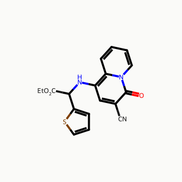 CCOC(=O)C(Nc1cc(C#N)c(=O)n2ccccc12)c1cccs1